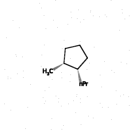 CCC[C@H]1CCC[C@H]1C